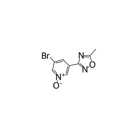 Cc1nc(-c2cc(Br)c[n+]([O-])c2)no1